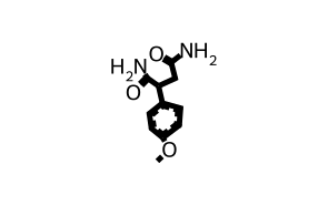 COc1ccc(C(CC(N)=O)C(N)=O)cc1